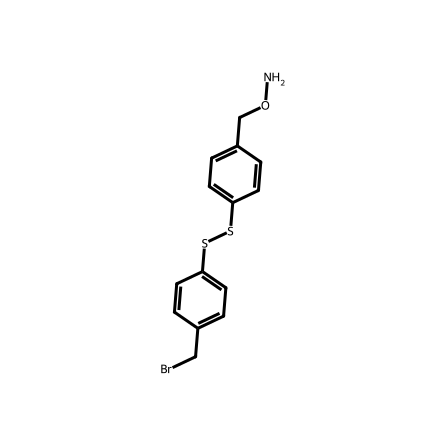 NOCc1ccc(SSc2ccc(CBr)cc2)cc1